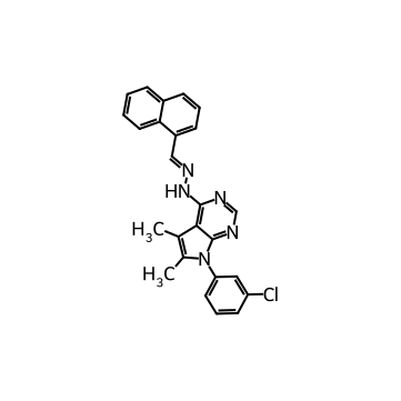 Cc1c(C)n(-c2cccc(Cl)c2)c2ncnc(NN=Cc3cccc4ccccc34)c12